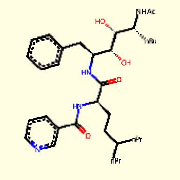 CCCC[C@@H](NC(C)=O)[C@@H](O)[C@H](O)[C@H](Cc1ccccc1)NC(=O)[C@@H](CCC(CCC)CCC)NC(=O)c1cccnc1